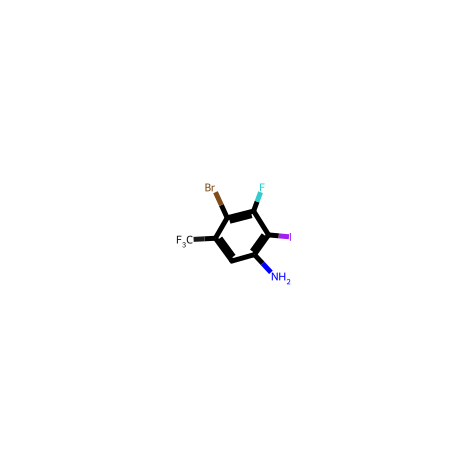 Nc1cc(C(F)(F)F)c(Br)c(F)c1I